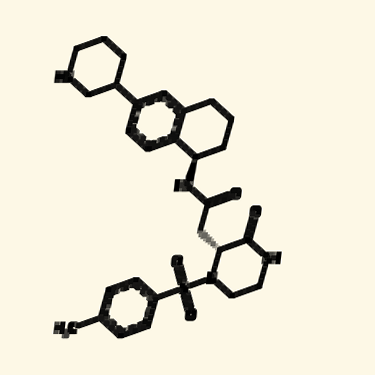 Cc1ccc(S(=O)(=O)N2CCNC(=O)[C@H]2CC(=O)N[C@@H]2CCCc3cc(C4CCCNC4)ccc32)cc1